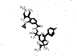 C=N/C=C(\C(=C/C)c1ccc(C(=O)NCC(O)(c2cc3c(c(-c4ccc(F)cc4)n2)OC[C@]3(C)C(N)=O)C(F)(F)F)cc1OC1CC1)C(F)(F)F